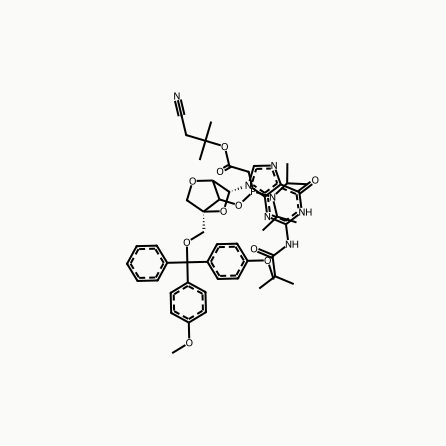 COc1ccc(C(OC[C@]23COC(C2OP(CC(=O)OC(C)(C)CC#N)N(C(C)C)C(C)C)[C@H](n2cnc4c(=O)[nH]c(NC(=O)C(C)C)nc42)O3)(c2ccccc2)c2ccc(OC)cc2)cc1